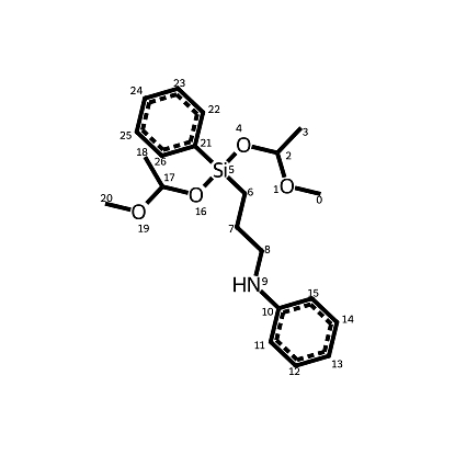 COC(C)O[Si](CCCNc1ccccc1)(OC(C)OC)c1ccccc1